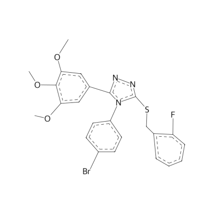 COc1cc(-c2nnc(SCc3ccccc3F)n2-c2ccc(Br)cc2)cc(OC)c1OC